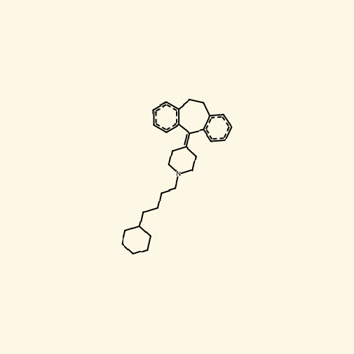 c1ccc2c(c1)CCc1ccccc1C2=C1CCN(CCCCC2CCCCC2)CC1